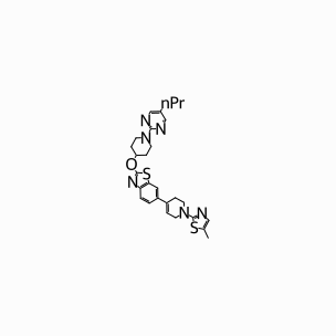 CCCc1cnc(N2CCC(Oc3nc4ccc(C5=CCN(c6ncc(C)s6)CC5)cc4s3)CC2)nc1